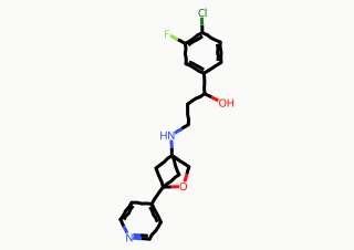 OC(CCNC12COC(c3ccncc3)(C1)C2)c1ccc(Cl)c(F)c1